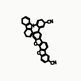 N#Cc1ccc2oc3c(ccc4c5cc(C6=CC(C#N)CC=C6n6c7c(c8c6C=CCC8)CCC=C7)ccc5oc43)c2c1